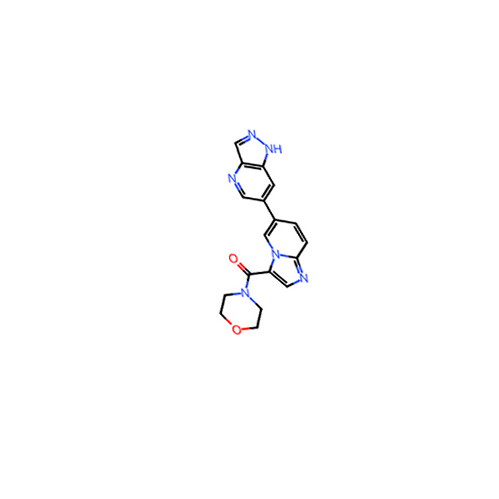 O=C(c1cnc2ccc(-c3cnc4cn[nH]c4c3)cn12)N1CCOCC1